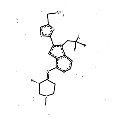 CN1CC/C(=N\c2cccc3c2cc(-c2ncc(CN)s2)n3CC(F)(F)F)[C@@H](F)C1